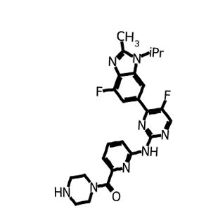 Cc1nc2c(F)cc(-c3nc(Nc4cccc(C(=O)N5CCNCC5)n4)ncc3F)cc2n1C(C)C